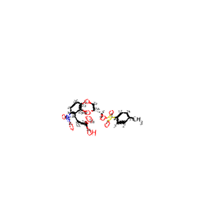 Cc1ccc(S(=O)(=O)OC[C@H]2COc3ccc([N+](=O)[O-])c(CC(=O)O)c3O2)cc1